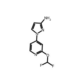 Nc1ccn(-c2ccnc(OC(F)F)c2)n1